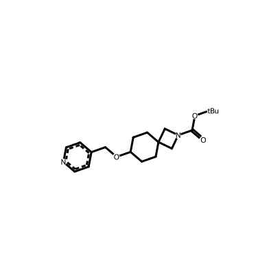 CC(C)(C)OC(=O)N1CC2(CCC(OCc3ccncc3)CC2)C1